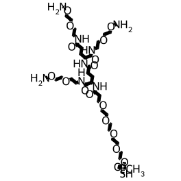 CP(=O)(S)OCCOCCOCCOCCOCCC(=O)NC(CCC(=O)NC(CCC(=O)NCCOCCON)C(=O)NCCOCCON)C(=O)NCCOCCON